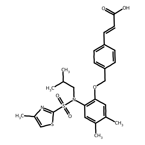 Cc1csc(S(=O)(=O)N(CC(C)C)c2cc(C)c(C)cc2OCc2ccc(/C=C/C(=O)O)cc2)n1